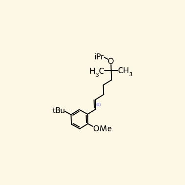 COc1ccc(C(C)(C)C)cc1/C=C/CCCC(C)(C)OC(C)C